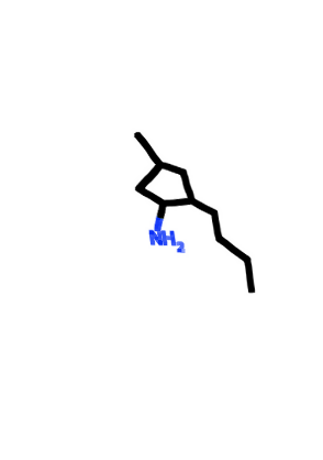 CCCCC1CC(C)CC1N